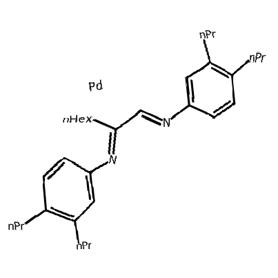 CCCCCCC(C=Nc1ccc(CCC)c(CCC)c1)=Nc1ccc(CCC)c(CCC)c1.[Pd]